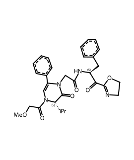 COCC(=O)N1C=C(c2ccccc2)N(CC(=O)N[C@@H](Cc2ccccc2)C(=O)C2=NCCO2)C(=O)[C@@H]1C(C)C